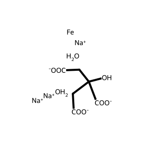 O.O.O=C([O-])CC(O)(CC(=O)[O-])C(=O)[O-].[Fe].[Na+].[Na+].[Na+]